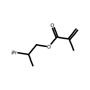 [CH2]C(C)C(C)COC(=O)C(=C)C